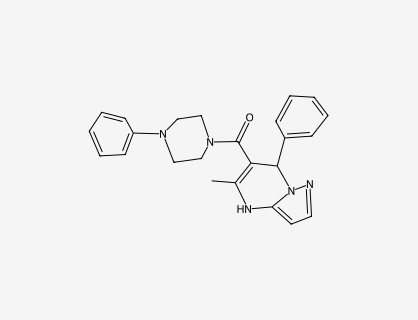 CC1=C(C(=O)N2CCN(c3ccccc3)CC2)C(c2ccccc2)n2nccc2N1